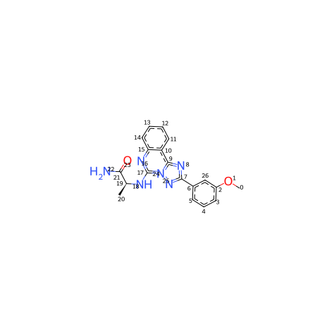 COc1cccc(-c2nc3c4ccccc4nc(N[C@@H](C)C(N)=O)n3n2)c1